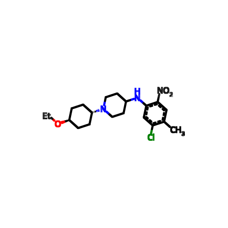 CCO[C@H]1CC[C@H](N2CCC(Nc3cc(Cl)c(C)cc3[N+](=O)[O-])CC2)CC1